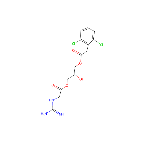 N=C(N)NCC(=O)OCC(O)COC(=O)Cc1c(Cl)cccc1Cl